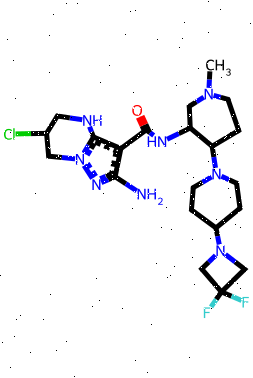 CN1CCC(N2CCC(N3CC(F)(F)C3)CC2)C(NC(=O)c2c(N)nn3c2NCC(Cl)C3)C1